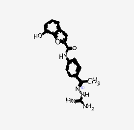 C/C(=N\NC(=N)N)c1ccc(NC(=O)c2cc3cccc(O)c3o2)cc1